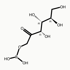 O=C(COB(O)O)[C@@H](O)[C@H](O)[C@H](O)CO